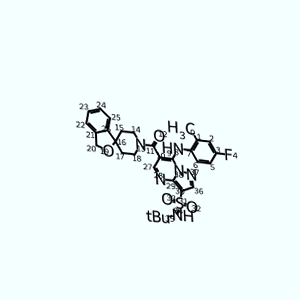 Cc1cc(F)ccc1Nc1c(C(=O)N2CCC3(CC2)OCc2ccccc23)cnc2c(S(=O)(=O)NC(C)(C)C)cnn12